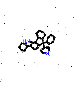 c1ccc(C2(c3ccncc3)c3ccccc3-c3c2ccc2c3[nH]c3ccccc32)cc1